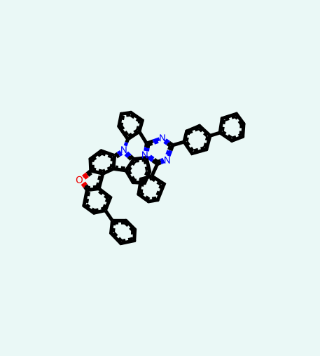 c1ccc(-c2ccc(-c3nc(-c4ccccc4)nc(-c4ccccc4-n4c5ccccc5c5c6c(ccc54)oc4ccc(-c5ccccc5)cc46)n3)cc2)cc1